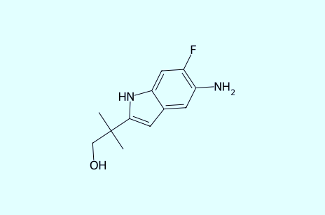 CC(C)(CO)c1cc2cc(N)c(F)cc2[nH]1